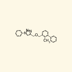 Cc1c(COCc2cn(-c3ccccc3)nn2)cccc1-c1ccccc1